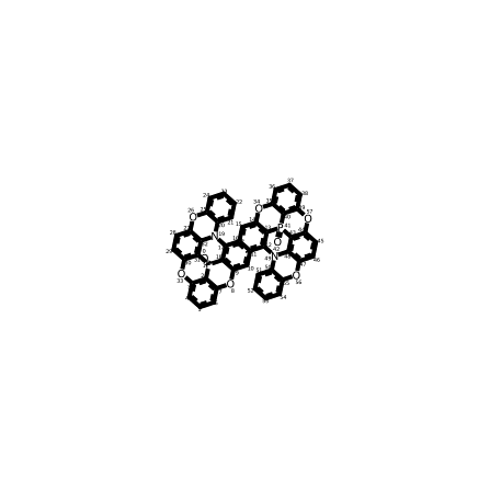 O=P12c3c4cccc3Oc3cc5c6c7c(cc5c(c31)N1c3ccccc3Oc3ccc(c2c31)O4)Oc1cccc2c1P7(=O)c1c(ccc3c1N6c1ccccc1O3)O2